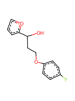 OC(CCOc1ccc(F)cc1)c1ccco1